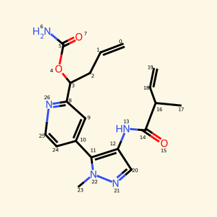 C=CCC(OC(N)=O)c1cc(-c2c(NC(=O)C(C)C=C)cnn2C)ccn1